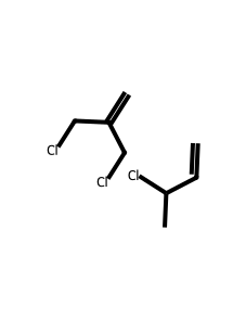 C=C(CCl)CCl.C=CC(C)Cl